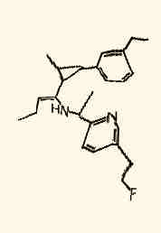 CC/C=C(\NC(C)c1ccc(CCF)cn1)C1C(C)C1c1cccc(CC)c1